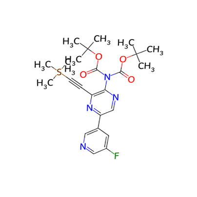 CC(C)(C)OC(=O)N(C(=O)OC(C)(C)C)c1ncc(-c2cncc(F)c2)nc1C#CS(C)(C)C